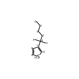 CCCCC(C)(C)c1ccsc1